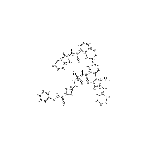 Cc1c(-c2ccc(N3CCc4cccc(C(=O)Nc5nc6ccccc6s5)c4C3)nc2C(=O)NS(=O)(=O)CCN2CC(C(=O)OCc3ccccc3)C2)cnn1CC1CCCCC1